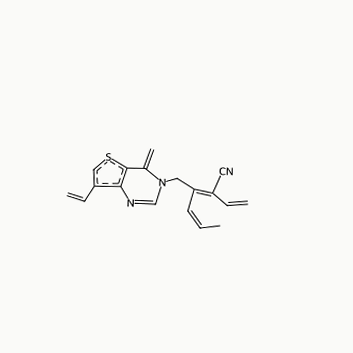 C=C/C(C#N)=C(\C=C/C)CN1C=Nc2c(C=C)csc2C1=C